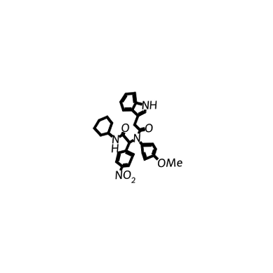 COc1ccc(N(C(=O)Cc2c[nH]c3ccccc23)C(C(=O)NC2CCCCC2)c2ccc([N+](=O)[O-])cc2)cc1